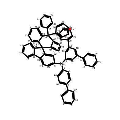 c1ccc(-c2ccc(N(c3cc(-c4ccccc4)cc(-c4ccccc4)c3)c3ccc4c(c3)C3(c5ccccc5-4)c4ccccc4C(c4ccccc4)(c4ccccc4)c4ccccc43)cc2)cc1